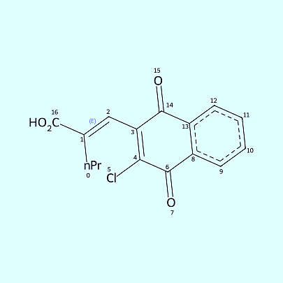 CCC/C(=C\C1=C(Cl)C(=O)c2ccccc2C1=O)C(=O)O